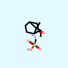 CCC1(C)C2CC[C@]1(CS(=O)(=O)O)C(=O)C2